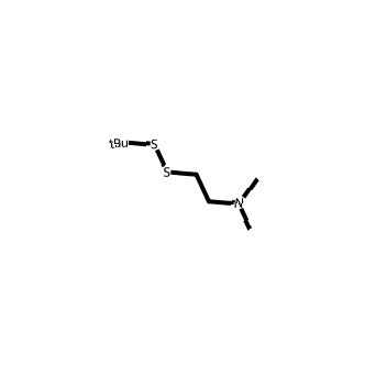 CN(C)CCSSC(C)(C)C